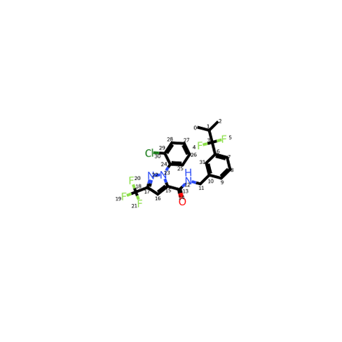 CC(C)C(F)(F)c1cccc(CNC(=O)c2cc(C(F)(F)F)nn2-c2ccccc2Cl)c1